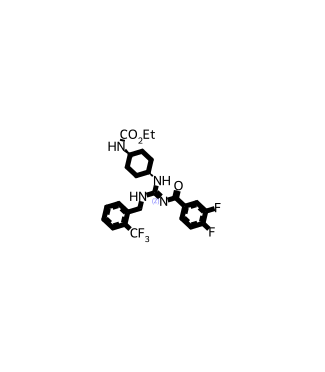 CCOC(=O)N[C@H]1CC[C@H](N/C(=N\C(=O)c2ccc(F)c(F)c2)NCc2ccccc2C(F)(F)F)CC1